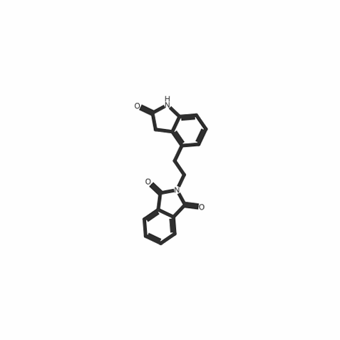 O=C1Cc2c(CCN3C(=O)c4ccccc4C3=O)cccc2N1